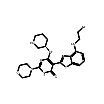 NCCNc1cccc2sc(-c3c(N[C@@H]4CCCNC4)nc(N4CCOCC4)[nH]c3=O)nc12